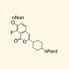 CCCCCCCCCOc1ccc2cc(C3CCC(CCCCC)CC3)oc(=O)c2c1F